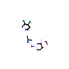 O=C1CO[C@H]2CCN(C(=O)N3CC(COc4cc(C(F)(F)F)c(C(F)(F)F)cn4)C3)C[C@H]2N1